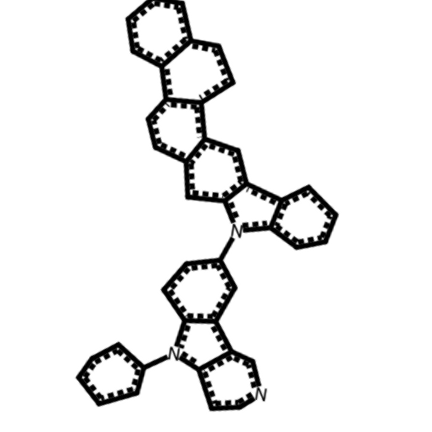 c1ccc(-n2c3ccncc3c3cc(-n4c5ccccc5c5cc6c(ccc7c8ccccc8ccc67)cc54)ccc32)cc1